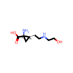 N[C@]1(C(=O)O)C[C@H]1CCNCCO